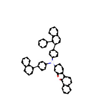 c1ccc(-c2c(-c3ccc(N(c4ccc(-c5cccc6ccccc56)cc4)c4ccc5c(c4)oc4c6ccccc6ccc54)cc3)ccc3ccccc23)cc1